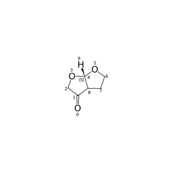 O=C1CO[C@@H]2OCCC12